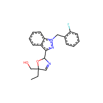 CCC1(CO)C=NC(c2nn(Cc3ccccc3F)c3ccccc23)O1